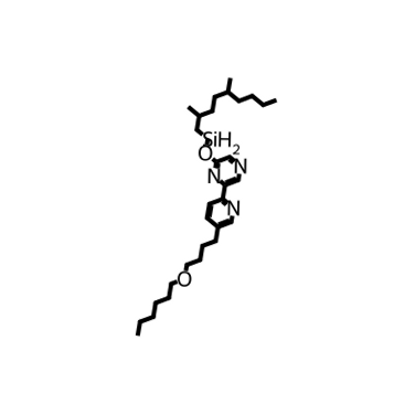 CCCCCCOCCCCc1ccc(-c2cncc(O[SiH2]CC(C)CCC(C)CCCC)n2)nc1